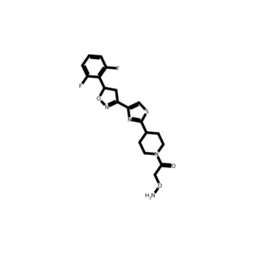 NOCC(=O)N1CCC(c2nc(C3=NOC(c4c(F)cccc4F)C3)cs2)CC1